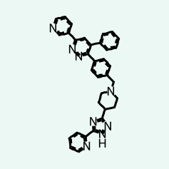 c1ccc(-c2cc(-c3cccnc3)nnc2-c2ccc(CN3CCC(c4n[nH]c(-c5ccccn5)n4)CC3)cc2)cc1